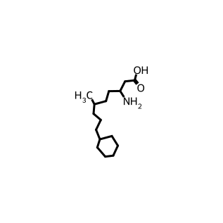 CC(CCCC1CCCCC1)CCC(N)CC(=O)O